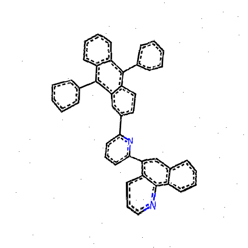 c1ccc(-c2c3ccccc3c(-c3ccccc3)c3cc(-c4cccc(-c5cc6ccccc6c6ncccc56)n4)ccc23)cc1